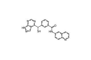 O=C(Nc1ccc2ncccc2c1)c1cccc(C(S)c2ncnc3[nH]ncc23)c1